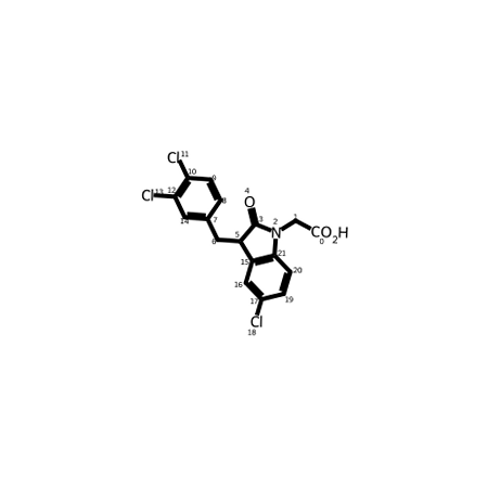 O=C(O)CN1C(=O)C(Cc2ccc(Cl)c(Cl)c2)c2cc(Cl)ccc21